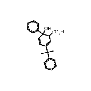 CC(C)(C1=CC(C(=O)O)C(O)(c2ccccc2)C=C1)c1ccccc1